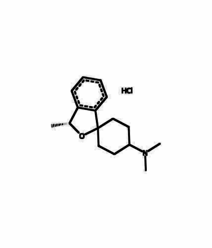 C[C@H]1OC2(CCC(N(C)C)CC2)c2ccccc21.Cl